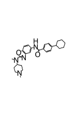 CN1CCC(N(C)c2nc3cc(NC(=O)c4ccc(C5CCCCC5)cc4)ccc3o2)CC1